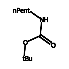 CCCCCNC(=O)OC(C)(C)C